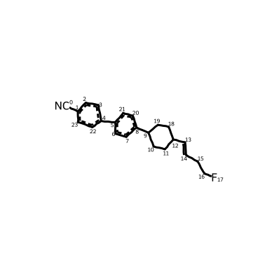 N#Cc1ccc(-c2ccc(C3CCC(C=CCCF)CC3)cc2)cc1